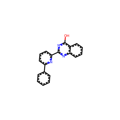 Oc1nc(-c2cccc(-c3ccccc3)n2)nc2ccccc12